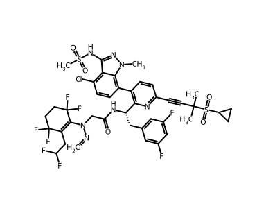 C=NN(CC(=O)N[C@@H](Cc1cc(F)cc(F)c1)c1nc(C#CC(C)(C)S(=O)(=O)C2CC2)ccc1-c1ccc(Cl)c2c(NS(C)(=O)=O)nn(C)c12)C1=C(CC(F)F)C(F)(F)CCC1(F)F